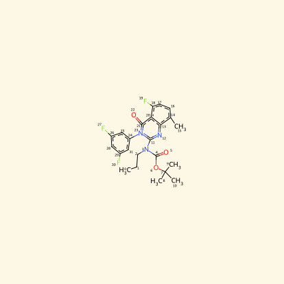 CCCN(C(=O)OC(C)(C)C)c1nc2c(C)ccc(F)c2c(=O)n1-c1cc(F)cc(F)c1